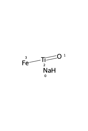 [NaH].[O]=[Ti][Fe]